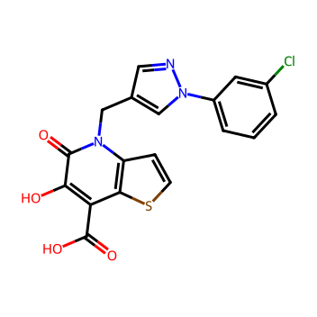 O=C(O)c1c(O)c(=O)n(Cc2cnn(-c3cccc(Cl)c3)c2)c2ccsc12